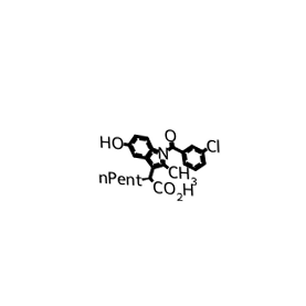 CCCCC[C@H](C(=O)O)c1c(C)n(C(=O)c2cccc(Cl)c2)c2ccc(O)cc12